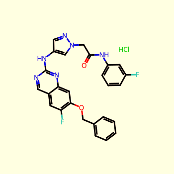 Cl.O=C(Cn1cc(Nc2ncc3cc(F)c(OCc4ccccc4)cc3n2)cn1)Nc1cccc(F)c1